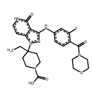 CCC1(n2nc(Nc3ccc(C(=O)N4CCOCC4)c(F)c3)c3c(=O)[nH]ccc32)CCN(C(=O)O)CC1